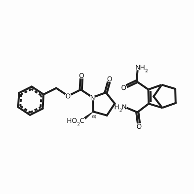 NC(=O)C1=C(C(N)=O)C2CCC1C2.O=C(O)[C@@H]1CCC(=O)N1C(=O)OCc1ccccc1